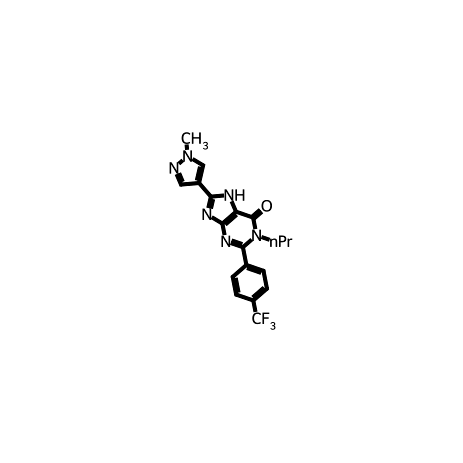 CCCn1c(-c2ccc(C(F)(F)F)cc2)nc2nc(-c3cnn(C)c3)[nH]c2c1=O